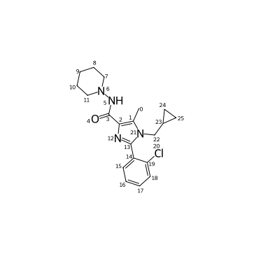 Cc1c(C(=O)NN2CCCCC2)nc(-c2ccccc2Cl)n1CC1CC1